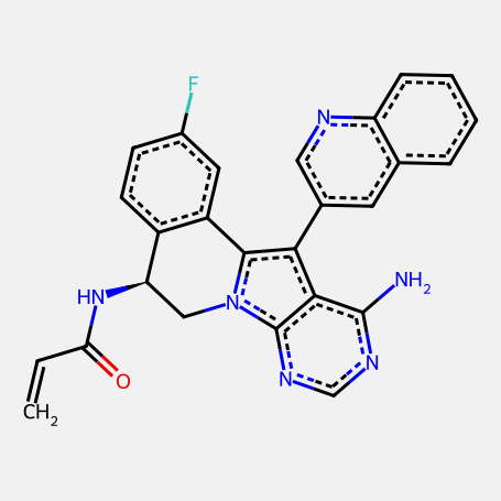 C=CC(=O)N[C@@H]1Cn2c(c(-c3cnc4ccccc4c3)c3c(N)ncnc32)-c2cc(F)ccc21